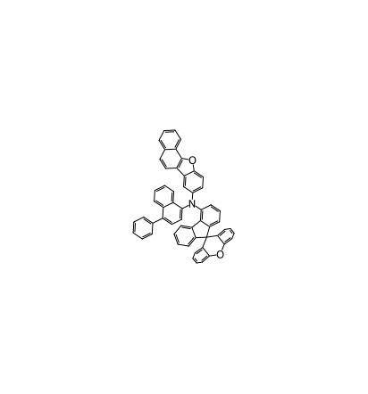 c1ccc(-c2ccc(N(c3ccc4oc5c6ccccc6ccc5c4c3)c3cccc4c3-c3ccccc3C43c4ccccc4Oc4ccccc43)c3ccccc23)cc1